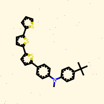 CN(c1ccc(-c2ccc(-c3ccc(-c4cccs4)s3)s2)cc1)c1ccc(C(C)(C)C)cc1